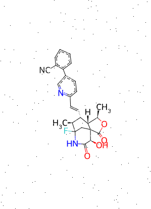 C[C@H]1OC(=O)C23CC(F)(NC(=O)[C@@H]2O)[C@@H](C)[C@H](/C=C/c2ccc(-c4ccccc4C#N)cn2)[C@H]13